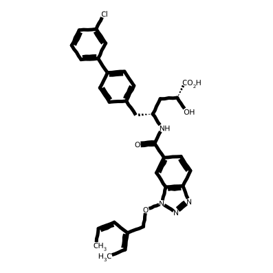 C/C=C\C(=C/C)COn1nnc2ccc(C(=O)N[C@H](Cc3ccc(-c4cccc(Cl)c4)cc3)C[C@@H](O)C(=O)O)cc21